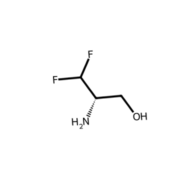 N[C@@H](CO)C(F)F